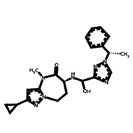 C[C@@H](c1ccccc1)n1cnc(C(O)N[C@H]2CCn3nc(C4CC4)cc3N(C)C2=O)n1